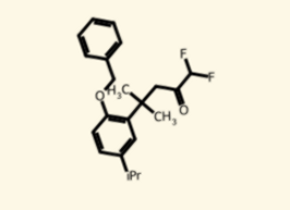 CC(C)c1ccc(OCc2ccccc2)c(C(C)(C)CC(=O)C(F)F)c1